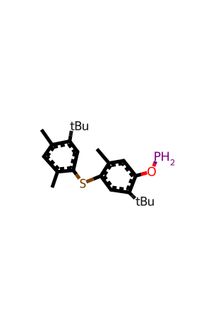 Cc1cc(C)c(C(C)(C)C)cc1Sc1cc(C(C)(C)C)c(OP)cc1C